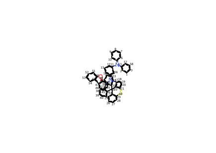 c1ccc(N(c2ccccc2)c2cccc(N(c3cccc4c3C3(c5ccccc5S4)c4ccccc4-c4ccccc43)c3cccc4c3oc3ccccc34)c2)cc1